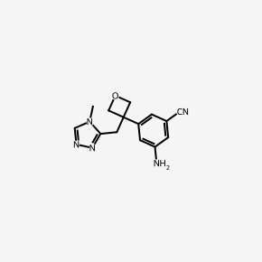 Cn1cnnc1CC1(c2cc(N)cc(C#N)c2)COC1